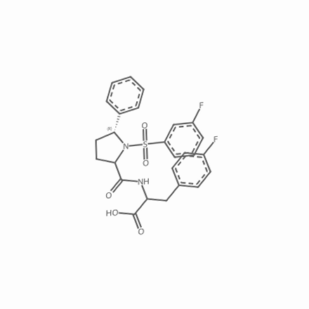 O=C(O)C(Cc1ccc(F)cc1)NC(=O)C1CC[C@H](c2ccccc2)N1S(=O)(=O)c1cccc(F)c1